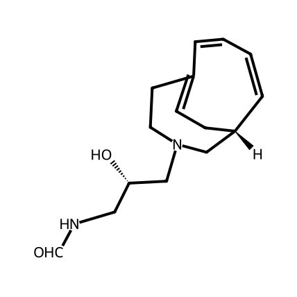 O=CNC[C@H](O)CN1CCC2=C\C[C@H](\C=C/C=C\2)C1